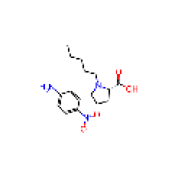 CCCCCN1CCC[C@H]1C(=O)O.Nc1ccc([N+](=O)[O-])cc1